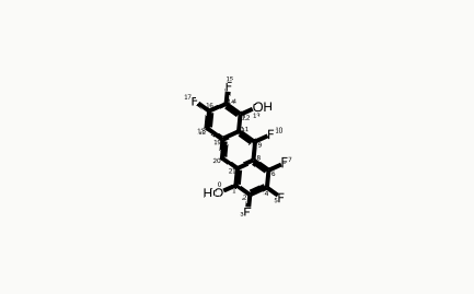 Oc1c(F)c(F)c(F)c2c(F)c3c(O)c(F)c(F)cc3cc12